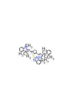 C=C(/C=C/C1=C(Sc2nc3ccccc3[nH]2)C(=C/C=C2/N(C)c3ccccc3C2(C)C)/CC1)C(C)(C)c1ccccc1C